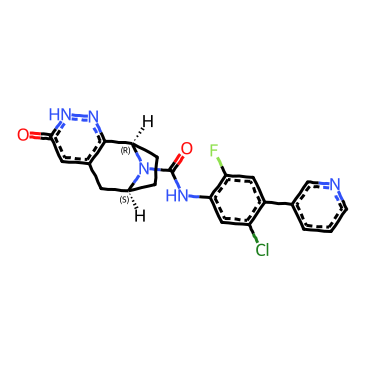 O=C(Nc1cc(Cl)c(-c2cccnc2)cc1F)N1[C@H]2CC[C@@H]1c1n[nH]c(=O)cc1C2